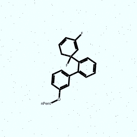 CCCCCOc1cccc(-c2ccccc2C2(F)C=C(F)C=CC2)c1